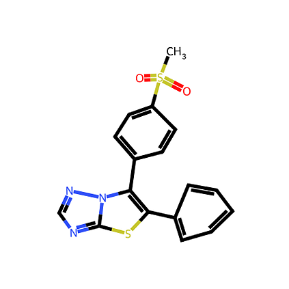 CS(=O)(=O)c1ccc(-c2c(-c3ccccc3)sc3ncnn23)cc1